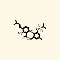 COc1c(C=CC(C)C)ccc2c1C(=O)OCc1cc(C)cc(OS(=O)(=O)C(C)C)c1O2